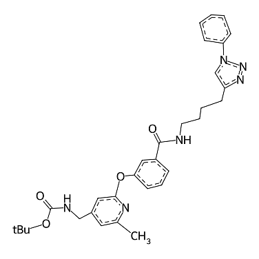 Cc1cc(CNC(=O)OC(C)(C)C)cc(Oc2cccc(C(=O)NCCCCc3cn(-c4ccccc4)nn3)c2)n1